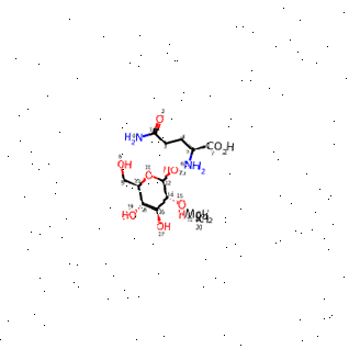 NC(=O)CC[C@H](N)C(=O)O.OC[C@H]1OC(O)[C@H](O)[C@@H](O)[C@@H]1O.[KH].[MgH2]